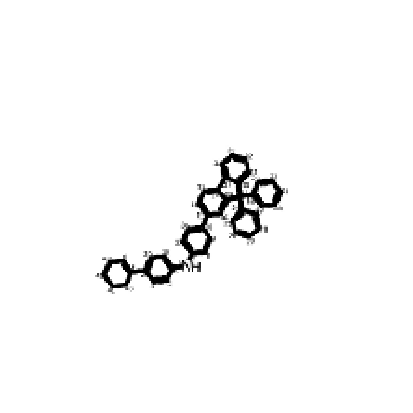 C1=C(c2ccc(Nc3ccc(-c4ccc5c(c4)C(c4ccccc4)(c4ccccc4)c4ccccc4-5)cc3)cc2)CCCC1